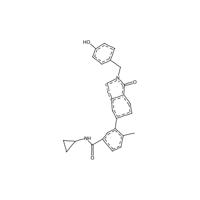 Cc1ccc(C(=O)NC2CC2)cc1-c1ccc2c(=O)n(Cc3ccc(O)cc3)ccc2c1